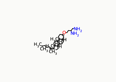 CC(C)CCC[C@@H](C)[C@H]1CC[C@H]2[C@@H]3CC[C@H]4C[C@@H](OCCC(N)CN)CC[C@]4(C)[C@H]3CC[C@]12C